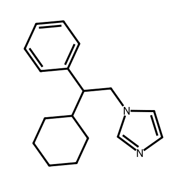 c1ccc(C(Cn2ccnc2)C2CCCCC2)cc1